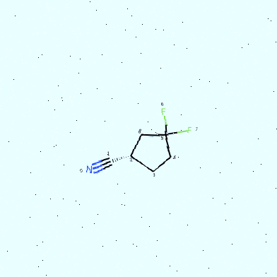 N#C[C@H]1CCC(F)(F)C1